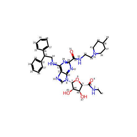 CCNC(=O)[C@H]1O[C@@H](n2cnc3c(NCC(c4ccccc4)c4ccccc4)nc(C(=O)NCCN4CCC(C)CC4)nc32)[C@H](O)[C@@H]1O